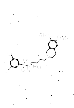 COc1cc2c(cc1OC)CN(CCCCNS(=O)(=O)c1cc(Cl)cc(Cl)c1)CC2.Cl